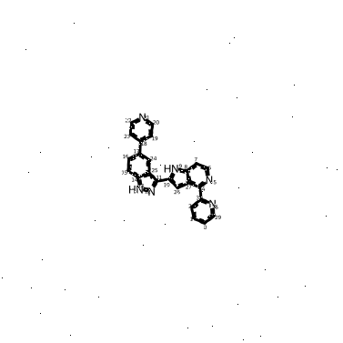 c1ccc(-c2nccc3[nH]c(-c4n[nH]c5ccc(-c6ccncc6)cc45)cc23)nc1